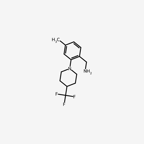 Cc1ccc(CN)c(N2CCC(C(F)(F)F)CC2)c1